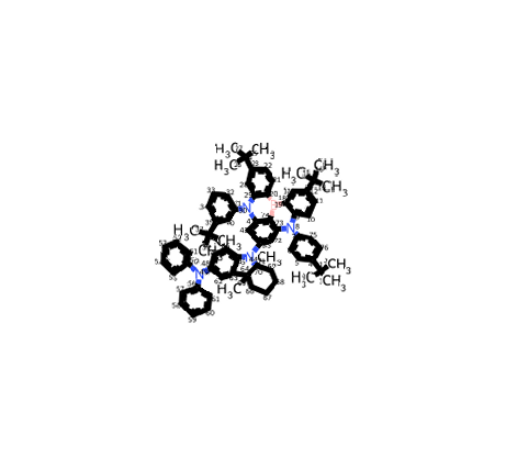 CC(C)(C)c1ccc(N2c3ccc(C(C)(C)C)cc3B3c4ccc(C(C)(C)C)cc4N(c4cccc(C(C)(C)C)c4)c4cc(N5c6ccc(N(c7ccccc7)c7ccccc7)cc6C6(C)CCCCC56C)cc2c43)cc1